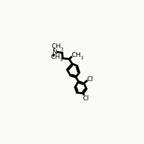 CC(CCN(C)C)c1ccc(-c2ccc(Cl)cc2Cl)cc1